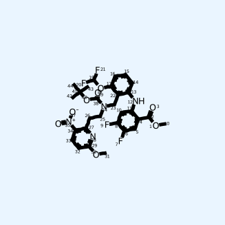 COC(=O)c1cc(F)c(F)cc1Nc1cccc(OC(F)F)c1CN(CCc1nc(OC)ccc1[N+](=O)[O-])C(=O)OC(C)(C)C